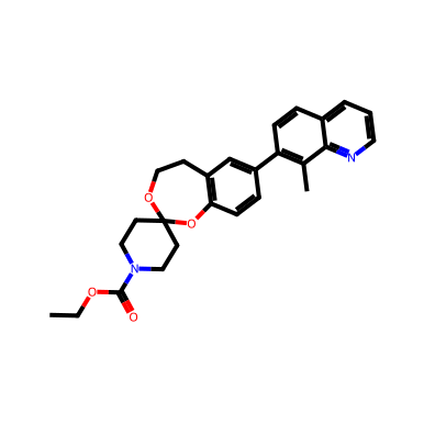 CCOC(=O)N1CCC2(CC1)OCCc1cc(-c3ccc4cccnc4c3C)ccc1O2